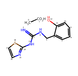 CC(=O)O.N=C(NCc1ccccc1O)Nc1nccs1